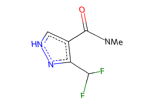 CNC(=O)c1c[nH]nc1C(F)F